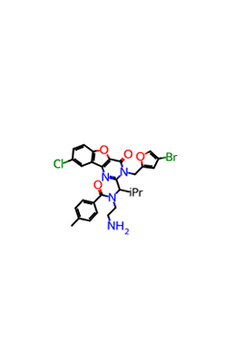 Cc1ccc(C(=O)N(CCN)C(c2nc3c(oc4ccc(Cl)cc43)c(=O)n2Cc2cc(Br)co2)C(C)C)cc1